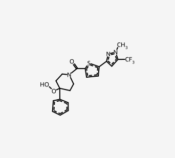 Cn1nc(-c2ccc(C(=O)N3CCC(OO)(c4ccccc4)CC3)s2)cc1C(F)(F)F